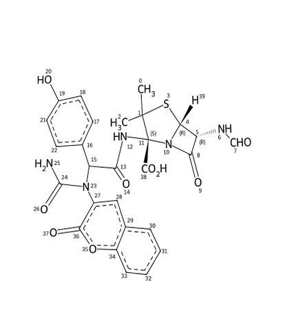 CC1(C)S[C@@H]2[C@H](NC=O)C(=O)N2[C@@]1(NC(=O)C(c1ccc(O)cc1)N(C(N)=O)c1cc2ccccc2oc1=O)C(=O)O